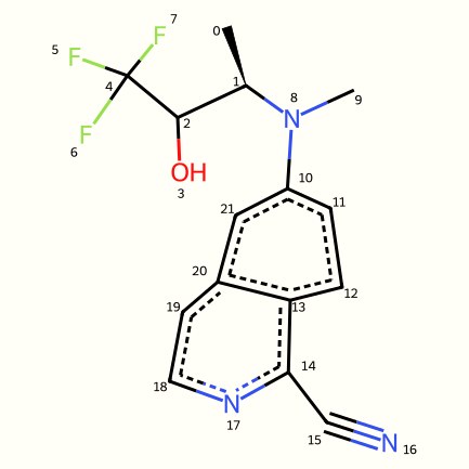 C[C@H](C(O)C(F)(F)F)N(C)c1ccc2c(C#N)nccc2c1